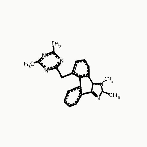 Cc1nc(C)nc(Cc2cccc3c2-c2ccccc2C2=NC(C)N(C)C23)n1